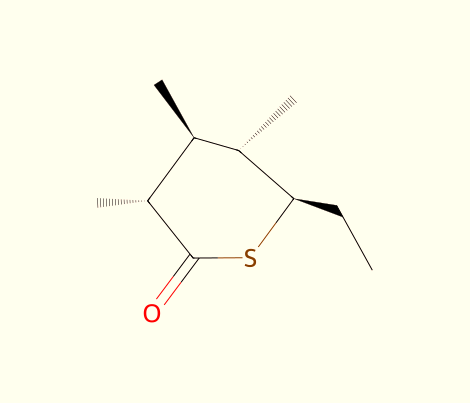 CC[C@H]1SC(=O)[C@H](C)[C@@H](C)[C@@H]1C